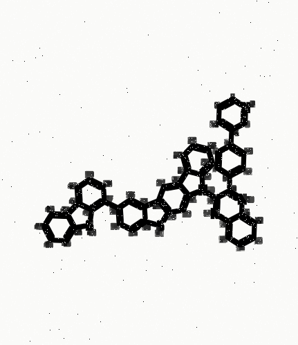 c1cncc(-c2ccc(-c3nc4ccccc4nc3-n3c4ccccc4c4cc5c(cc43)sc3ccc(-c4cccc6c4sc4ccccc46)cc35)cc2)c1